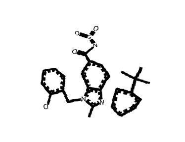 CC(C)(C)c1ccccc1.Cc1nc2ccc(C(=O)N=S(=O)=O)cc2n1Cc1ccccc1Cl